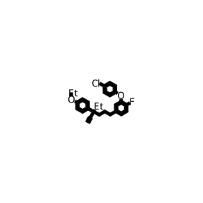 C#CC(CC)(CCCc1ccc(F)c(Oc2ccc(Cl)cc2)c1)c1ccc(OCC)cc1